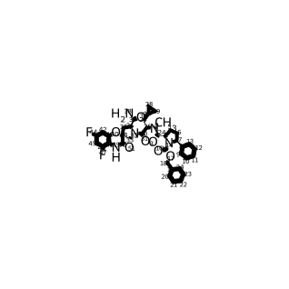 CN(C(=O)[C@@H]1CC[C@@H](c2ccccc2)N1C(=O)OCc1ccccc1)[C@@H](CC1CC1)C(=O)N1C[C@@]2(C[C@H]1C(N)=O)Oc1cc(F)cc(F)c1NC2=O